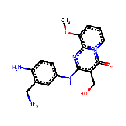 COc1cccn2c(=O)c(CO)c(Nc3ccc(N)c(CN)c3)nc12